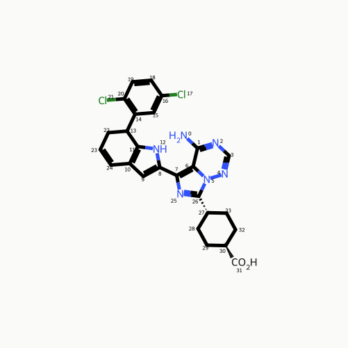 Nc1ncnn2c1c(-c1cc3c([nH]1)C(c1cc(Cl)ccc1Cl)CC=C3)nc2[C@H]1CC[C@H](C(=O)O)CC1